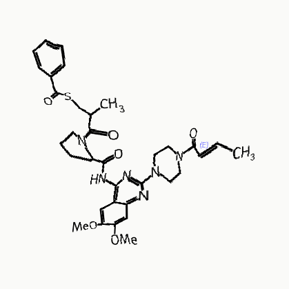 C/C=C/C(=O)N1CCN(c2nc(NC(=O)C3CCCN3C(=O)C(C)CSC(=O)c3ccccc3)c3cc(OC)c(OC)cc3n2)CC1